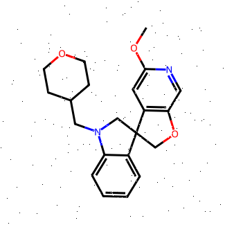 COc1cc2c(cn1)OCC21CN(CC2CCOCC2)c2ccccc21